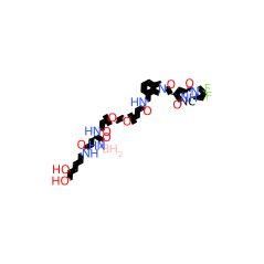 BNC(=O)[C@@H](CCC(=O)NCCCC[C@H](O)CO)NC(=O)CC(C)(C)OCCOC(C)(C)CCC(=O)NCc1cccc2c1CN(C(=O)C[C@@H]1C[C@@H](C(=O)N3CC(F)(F)C[C@H]3C#N)NC1=O)C2